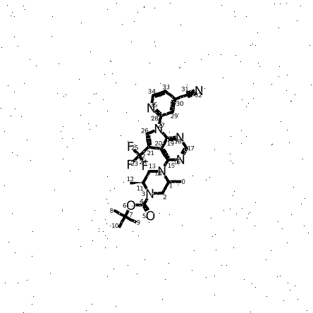 CC1CN(C(=O)OC(C)(C)C)[C@@H](C)CN1c1ncnc2c1c(C(F)(F)F)cn2-c1cc(C#N)ccn1